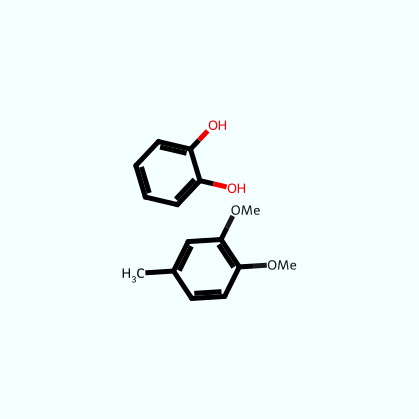 COc1ccc(C)cc1OC.Oc1ccccc1O